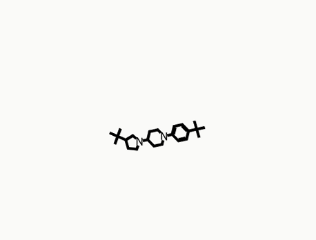 CC(C)(C)c1ccc(N2CCC(N3CCC(C(C)(C)C)C3)CC2)cc1